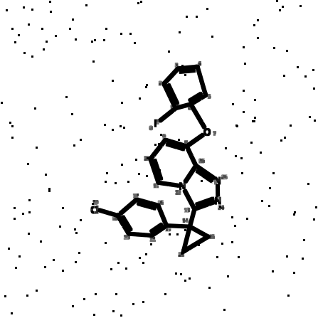 Fc1ccccc1Oc1cccn2c(C3(c4ccc(Cl)cc4)CC3)nnc12